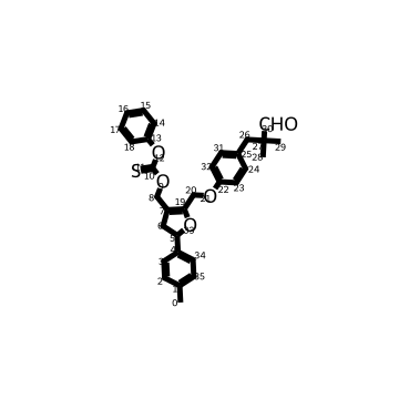 Cc1ccc(C2CC(COC(=S)Oc3ccccc3)=C(COc3ccc(CC(C)(C)C=O)cc3)O2)cc1